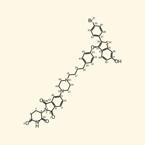 O=C1CCC(N2C(=O)c3ccc(N4CCN(CCCCc5ccc(Oc6c(-c7ccc(Br)cc7)sc7cc(O)ccc67)cc5)CC4)cc3C2=O)C(=O)N1